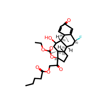 CCCCC(=O)OCC(=O)[C@@]1(OC(=O)OCC)CC[C@H]2[C@@H]3C[C@H](F)C4=CC(=O)C=C[C@]4(C)[C@H]3C(O)C[C@@]21C